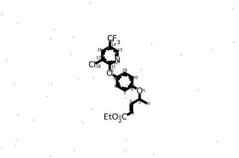 CCOC(=O)C=CC(C)Oc1ccc(Oc2ncc(C(F)(F)F)cc2Cl)cc1